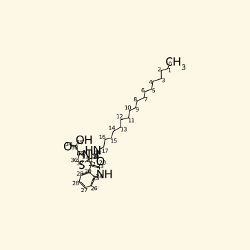 CCCCCCCCCCCCCCCCCCNC(=O)C1(c2c[nH]c3ccccc23)N[C@H](C(=O)O)CS1